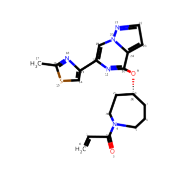 C=CC(=O)N1CCC[C@@H](Oc2nc(-c3csc(C)n3)cn3nccc23)CC1